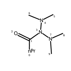 CCCC(=O)N(N(C)C)N(C)C